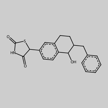 O=C1NC(=O)C(c2ccc3c(c2)CCC(Cc2ccccc2)C3O)S1